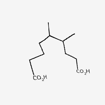 CC(CCCC(=O)O)C(C)CCC(=O)O